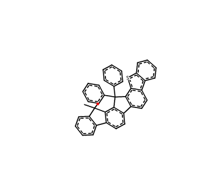 CC1(C)c2ccccc2-c2ccc3c(c21)C(c1ccccc1)(c1ccccc1)c1c-3ccc2c1sc1ccccc12